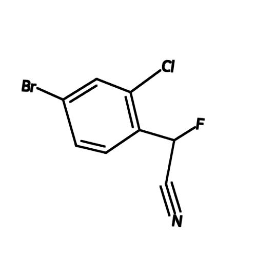 N#CC(F)c1ccc(Br)cc1Cl